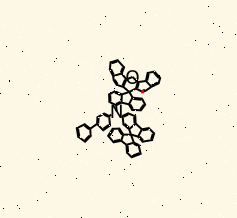 c1ccc(-c2ccc(N(c3ccc4c(c3)C3(c5ccccc5-c5ccccc53)c3ccccc3-4)c3cccc4c3-c3ccccc3C43c4ccc5ccccc5c4Oc4c3ccc3ccccc43)cc2)cc1